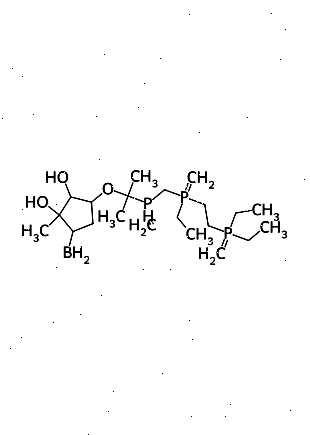 BC1CC(OC(C)(C)[PH](=C)CP(=C)(CC)CCP(=C)(CC)CC)C(O)C1(C)O